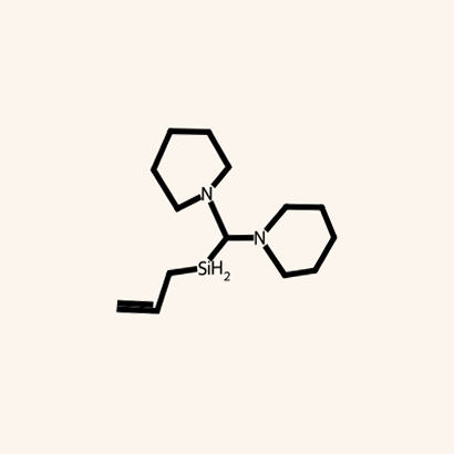 C=CC[SiH2]C(N1CCCCC1)N1CCCCC1